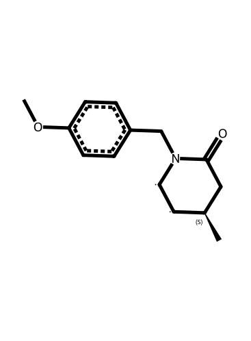 COc1ccc(CN2[CH][CH][C@H](C)CC2=O)cc1